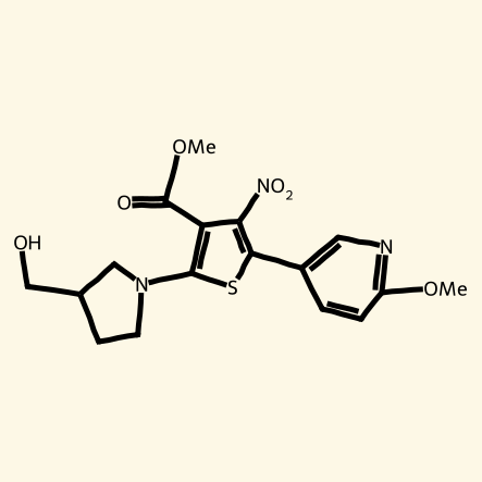 COC(=O)c1c(N2CCC(CO)C2)sc(-c2ccc(OC)nc2)c1[N+](=O)[O-]